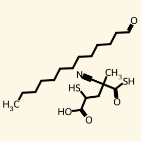 CC(C#N)(CC(S)C(=O)O)C(=O)S.CCCCCCCCCCCCC=O